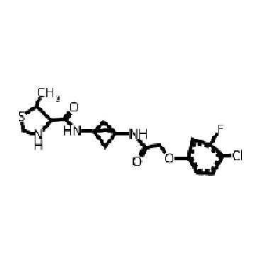 CC1SCNC1C(=O)NC12CC(NC(=O)COc3ccc(Cl)c(F)c3)(C1)C2